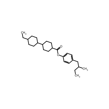 CCC(C)Cc1ccc(OC(=O)C2CCC(C3CCC(CC)CC3)CC2)cc1